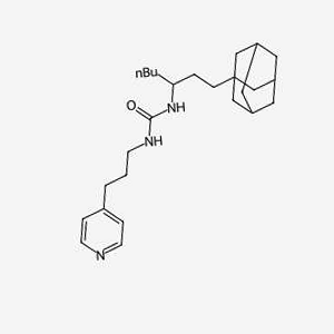 CCCCC(CCC12CC3CC(CC(C3)C1)C2)NC(=O)NCCCc1ccncc1